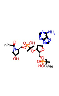 CCCC(=O)N1C[C@H](O)C[C@H]1COP(=O)(O)C(C)(C)O[C@H]1C[C@H](n2cnc3c(N)ncnc32)O[C@@H]1COP(=O)(O)C(C)(C)OC